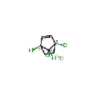 Cl[C@@H]1C[C@]2(Cl)C=C[C@@]1(Cl)C2(Cl)Cl